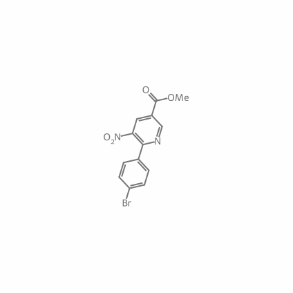 COC(=O)c1cnc(-c2ccc(Br)cc2)c([N+](=O)[O-])c1